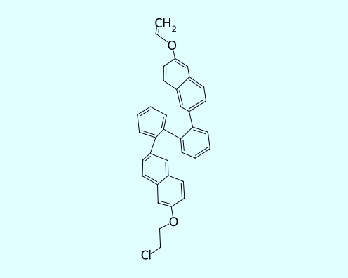 C=COc1ccc2cc(-c3ccccc3-c3ccccc3-c3ccc4cc(OCCCl)ccc4c3)ccc2c1